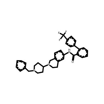 O=C(Nc1ccc2c(c1)CCN(C1CCN(Cc3ccccc3)CC1)C2)c1ccccc1-c1ccc(C(F)(F)F)cc1